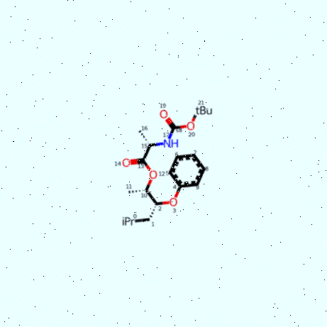 CC(C)C[C@@H](Oc1ccccc1)[C@H](C)OC(=O)[C@H](C)NC(=O)OC(C)(C)C